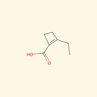 CCC1=C(C(=O)O)CC1